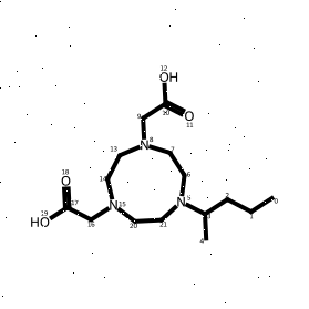 CCCC(C)N1CCN(CC(=O)O)CCN(CC(=O)O)CC1